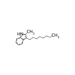 CCCCCCCCc1c(C)[nH]c2ccccc12